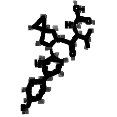 CC(C)[C@H](NC(=O)O)C(=O)N1CC2(CC2)C[C@H]1c1ncc(-c2ccc(Br)cc2)[nH]1